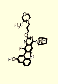 CCc1cccc2cc(O)cc(-c3c(F)cc4c(N5CC6CCC(C5)N6)nc(OCCCN5CCOC[C@H]5C)nc4c3F)c12